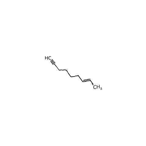 C#CC[CH]CCC=CC